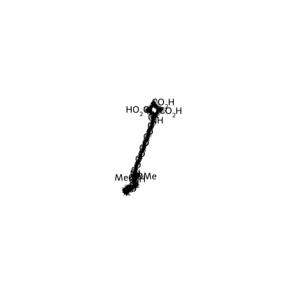 COc1nc(OCCOCCOCCOCCOCCOCCOCCOCCOCCNC(=O)CN2CCN(CC(=O)O)CCN(CC(=O)O)CCN(CC(=O)O)CC2)nc(OC)c1NC(=O)c1ccc(Oc2cc3c(cc2C)CCC3(C)C)o1